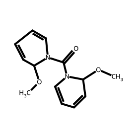 COC1C=CC=CN1C(=O)N1C=CC=CC1OC